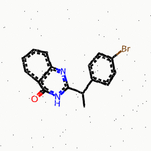 CC(c1ccc(Br)cc1)c1nc2ccccc2c(=O)[nH]1